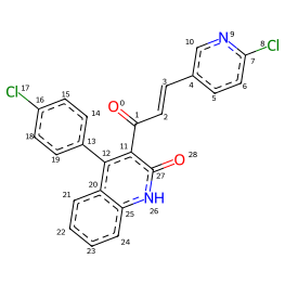 O=C(/C=C/c1ccc(Cl)nc1)c1c(-c2ccc(Cl)cc2)c2ccccc2[nH]c1=O